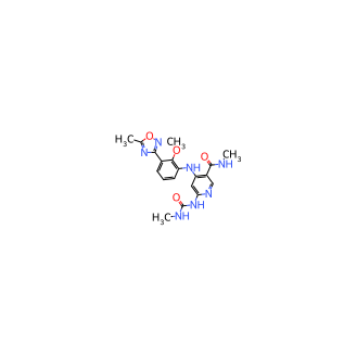 CNC(=O)Nc1cc(Nc2cccc(-c3noc(C)n3)c2OC)c(C(=O)NC)cn1